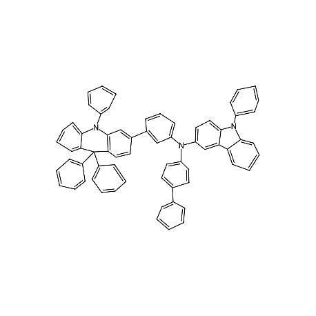 c1ccc(-c2ccc(N(c3cccc(-c4ccc5c(c4)N(c4ccccc4)c4ccccc4C5(c4ccccc4)c4ccccc4)c3)c3ccc4c(c3)c3ccccc3n4-c3ccccc3)cc2)cc1